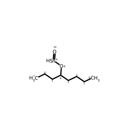 CCCCC(CCC)[O][SnH]=[O]